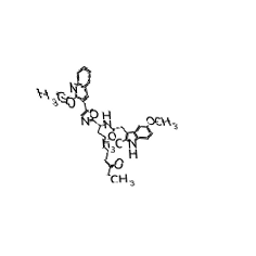 CCC(=O)CCCCCC(NC(=O)Cc1c(C)[nH]c2ccc(OC)cc12)c1ncc(-c2cc3ccccc3nc2OC)o1